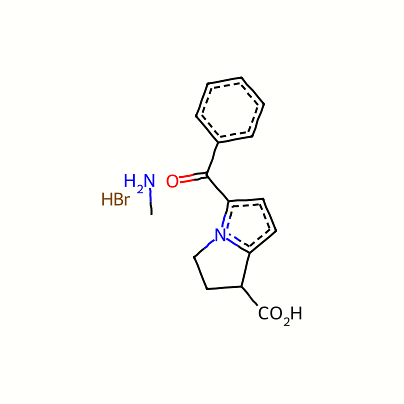 Br.CN.O=C(c1ccccc1)c1ccc2n1CCC2C(=O)O